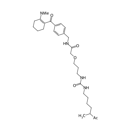 CNC1=C(C(=O)c2ccc(CNC(=O)COCCCNC(=O)NCCCCC(C)C(C)=O)cc2)CCCC1